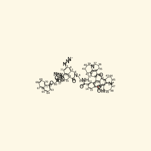 [N-]=[N+]=Nc1cc(CN(CCNC(=O)c2ccc(C(=O)O)c(C3=c4cc5c6c(c4Oc4c3cc3c7c4CCCN7CCCC3)CCC[N+]=6CCCC5)c2)C(=O)CCNC[C@H](O)COc2cccc3ccccc23)cc(N=[N+]=[N-])c1